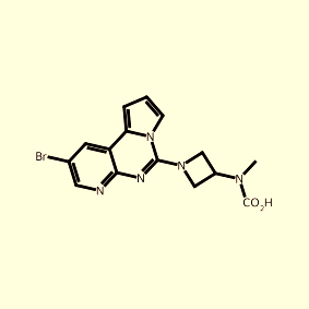 CN(C(=O)O)C1CN(c2nc3ncc(Br)cc3c3cccn23)C1